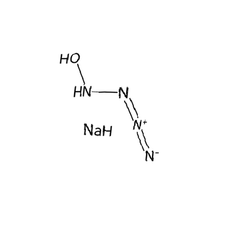 [N-]=[N+]=NNO.[NaH]